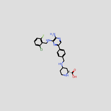 Nc1ncc(-c2ccc(CNC3CCN[C@@H](C(=O)O)C3)cc2)nc1NCc1c(F)cccc1Cl